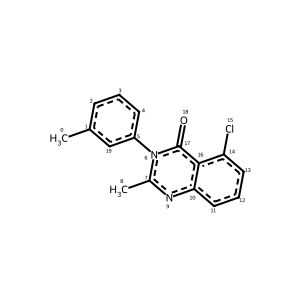 Cc1cccc(-n2c(C)nc3cccc(Cl)c3c2=O)c1